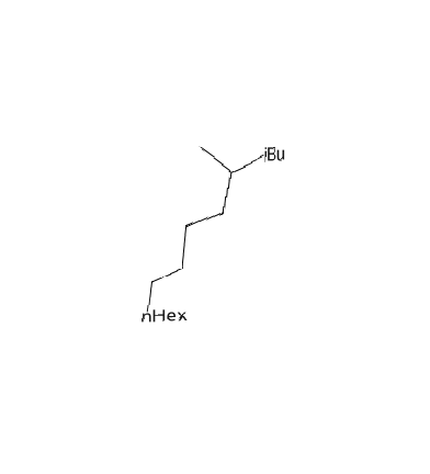 [CH2]CC(C)C(C)CCCCCCCCCC